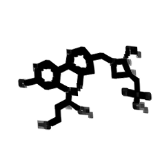 C[C@@H]1[C@@H](CS(C)(=O)=O)CN1Cc1cnc(-c2cnc(Cl)cc2N[C@@H](C)CCO)c(F)c1